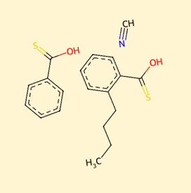 C#N.CCCCc1ccccc1C(O)=S.OC(=S)c1ccccc1